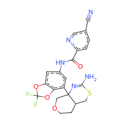 N#Cc1ccc(C(=O)Nc2cc3c(c(C45COCCC4CSC(N)=N5)c2)OC(F)(F)O3)nc1